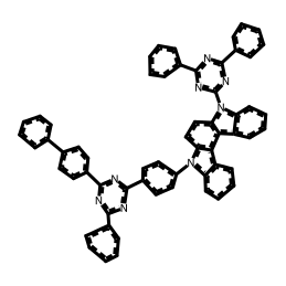 c1ccc(-c2ccc(-c3nc(-c4ccccc4)nc(-c4ccc(-n5c6ccccc6c6c7c8ccccc8n(-c8nc(-c9ccccc9)nc(-c9ccccc9)n8)c7ccc65)cc4)n3)cc2)cc1